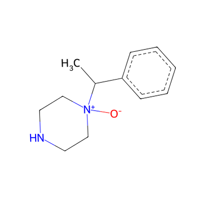 CC(c1ccccc1)[N+]1([O-])CCNCC1